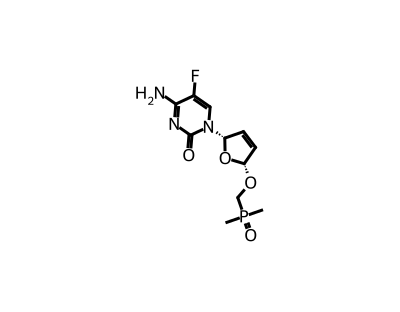 CP(C)(=O)CO[C@H]1C=C[C@@H](n2cc(F)c(N)nc2=O)O1